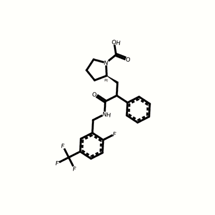 O=C(NCc1cc(C(F)(F)F)ccc1F)C(C[C@H]1CCCN1C(=O)O)c1ccccc1